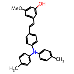 COc1cc(O)cc(C=Cc2ccc(N(c3ccc(C)cc3)c3ccc(C)cc3)cc2)c1